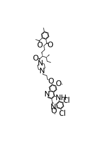 CC[C@H](C)[C@H](CCCC(=O)c1ccc(C)cc1C(C)=O)C(=O)N1CCN(CCCOc2cc3ncc(C#N)c(Nc4cc(OC)c(Cl)cc4Cl)c3cc2OC)CC1